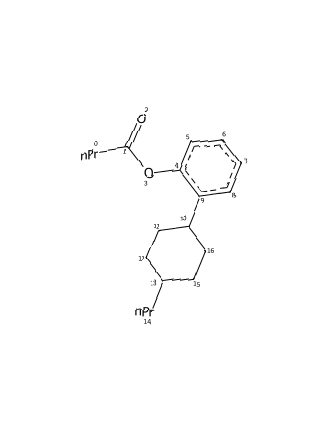 CCCC(=O)Oc1ccccc1C1CCC(CCC)CC1